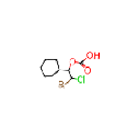 O=C(O)OC(C(Cl)Br)C1CCCCC1